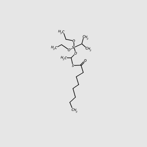 CCCCCCCC(=O)SC(C)O[Si](OCC)(OCC)C(C)C